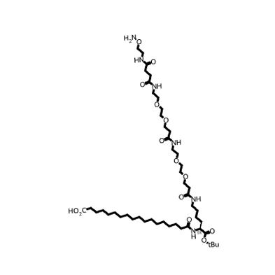 CC(C)(C)OC(=O)[C@H](CCCCNC(=O)CCOCCOCCNC(=O)CCOCCOCCNC(=O)CCC(=O)NCCON)NC(=O)CCCCCCCCCCCCCCCCC(=O)O